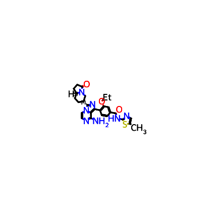 CCOc1cc(C(=O)Nc2ncc(C)s2)ccc1-c1nc([C@@H]2CC[C@H]3CCC(=O)N3C2)n2ccnc(N)c12